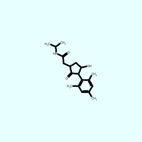 Cc1cc(C)c(C2C(=O)C(CC(=O)NC(C)C)CC2O)c(C)c1